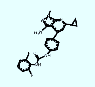 Cn1nc(N)c2c(-c3ccc(NC(=O)Nc4c(F)cccc4F)cc3)cc(C3CC3)nc21